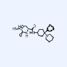 CC(C)(C)OC(=O)NC(CO)C(=O)NC1CCC(c2ccccc2)(N2CCCCC2)CC1